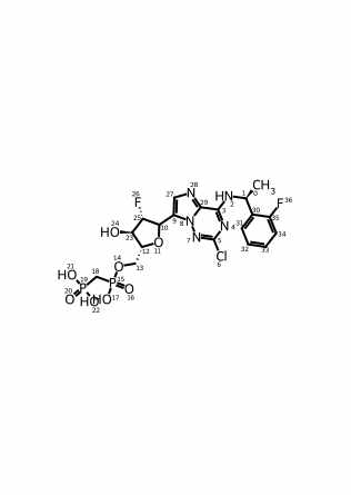 C[C@H](Nc1nc(Cl)nn2c(C3O[C@H](COP(=O)(O)CP(=O)(O)O)[C@@H](O)[C@@H]3F)cnc12)c1ccccc1F